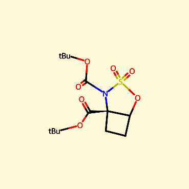 CC(C)(C)OC(=O)N1[C@@]2(C(=O)OC(C)(C)C)CCC2OS1(=O)=O